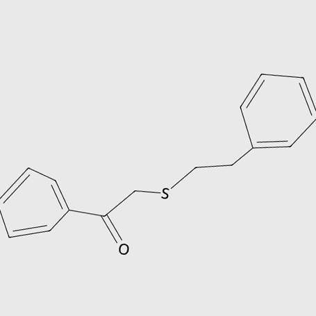 O=C(CSCCc1ccccc1)c1ccccc1